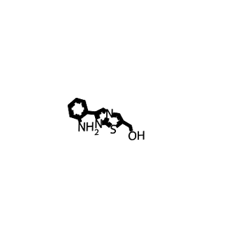 Nc1ccccc1-c1cn2cc(CO)sc2n1